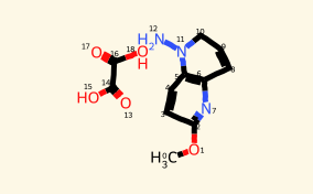 COc1ccc2c(n1)C=CCN2N.O=C(O)C(=O)O